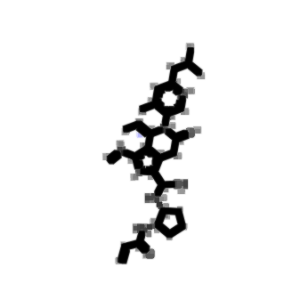 C=CC(=O)N[C@H]1CCC[C@H]1NC(O)c1sc(N=C)c2c1CC(=O)N(c1cnc(CC(C)C)cc1C)/C2=C/C